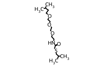 CC(C)CCOCCOCCOCCNC(=O)CSCC(C)C